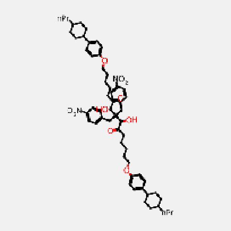 CCCC1CCC(c2ccc(OCCCCCC(=O)C(O)C(Cc3ccc([N+](=O)[O-])cc3)(Cc3ccc([N+](=O)[O-])cc3)C(O)C(=O)CCCCCOc3ccc(C4CCC(CCC)CC4)cc3)cc2)CC1